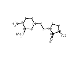 CCN1CCN(CCN2CC[C@H](N)[C@H](OC)C2)C1=O